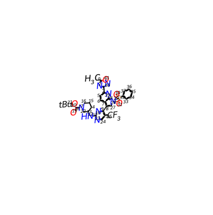 Cc1nc(-c2ccc3c(-c4nc(N[C@H]5CCCN(C(=O)OC(C)(C)C)C5)ncc4C(F)(F)F)cn(S(=O)(=O)c4ccccc4)c3n2)no1